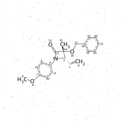 C=C[C@@H]1N(c2ccc(OC)cc2)C(=O)[C@]1(C)OCc1ccccc1